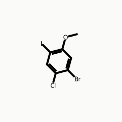 COc1cc(Br)c(Cl)cc1I